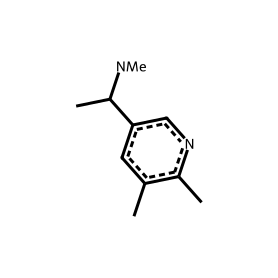 CNC(C)c1cnc(C)c(C)c1